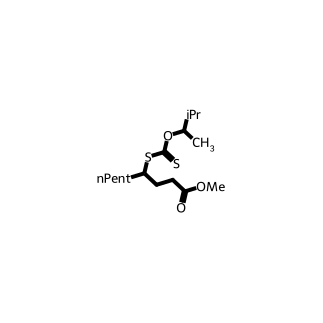 CCCCCC(CCC(=O)OC)SC(=S)OC(C)C(C)C